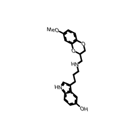 COc1ccc2c(c1)OC(CNCCCc1c[nH]c3ccc(O)cc13)CO2